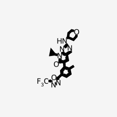 Cc1ccc(-c2nnc(C(F)(F)F)o2)cc1-c1cc2cnc(NC3CCOCC3)nc2n(C2CC2)c1=O